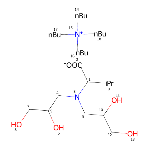 CC(C)C(C(=O)[O-])N(CC(O)CO)CC(O)CO.CCCC[N+](CCCC)(CCCC)CCCC